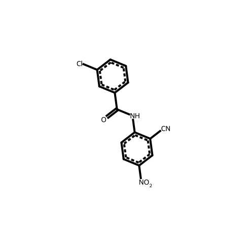 N#Cc1cc([N+](=O)[O-])ccc1NC(=O)c1cccc(Cl)c1